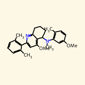 COc1ccc(C)c(N(C)C2CCCc3nc(-c4c(C)cccc4C)cc(OC)c32)c1